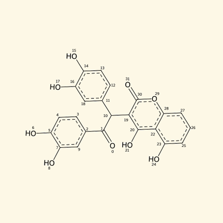 O=C(c1ccc(O)c(O)c1)C(c1ccc(O)c(O)c1)c1c(O)c2c(O)cccc2oc1=O